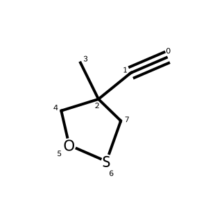 C#CC1(C)COSC1